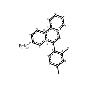 Cc1ccc(-c2c[n+]3ccccc3c3cccc[n+]23)c(C)c1.[Br-].[Br-]